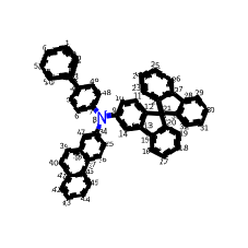 c1ccc(-c2ccc(N(c3ccc4c(c3)-c3ccccc3C43c4ccccc4-c4ccccc43)c3ccc4c(ccc5ccccc54)c3)cc2)cc1